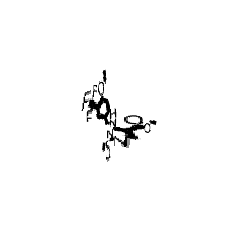 CCOC(=O)c1cnc(SC)nc1NCc1ccc(OCC)c(C(F)(F)F)c1